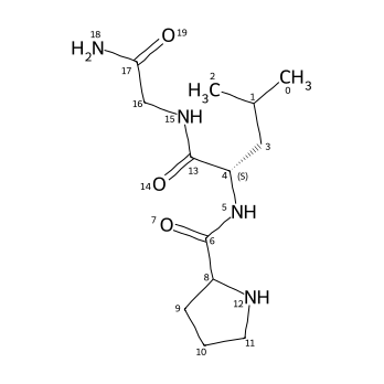 CC(C)C[C@H](NC(=O)C1CCCN1)C(=O)NCC(N)=O